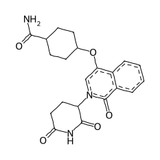 NC(=O)C1CCC(Oc2cn(C3CCC(=O)NC3=O)c(=O)c3ccccc23)CC1